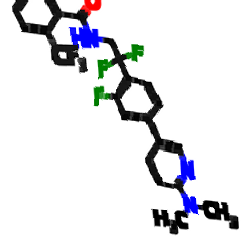 CN(C)c1ccc(-c2ccc(C(F)(F)CNC(=O)c3ccccc3C(F)(F)F)c(F)c2)cn1